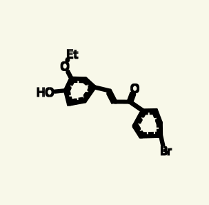 CCOc1cc(/C=C/C(=O)c2ccc(Br)cc2)ccc1O